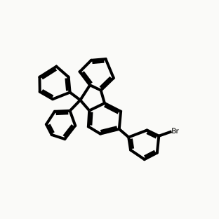 Brc1cccc(-c2ccc3c(c2)-c2ccccc2C3(c2ccccc2)c2ccccc2)c1